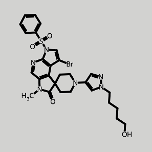 CN1C(=O)C2(CCN(c3cnn(CCCCCO)c3)CC2)c2c1cnc1c2c(Br)cn1S(=O)(=O)c1ccccc1